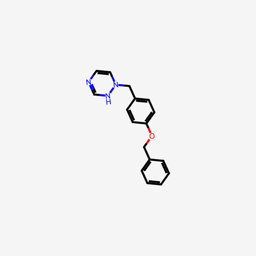 C1=CN(Cc2ccc(OCc3ccccc3)cc2)NC=N1